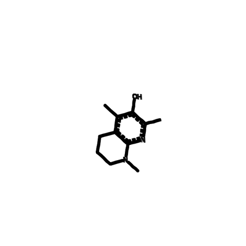 Cc1nc2c(c(C)c1O)CCCN2C